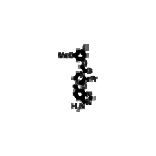 CCC[C@H]1C(=O)N(Cc2ccc3c(N)ncnc3c2)CCN1C(=O)COc1cc(Cl)cc(OC)c1